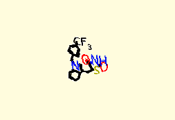 O=C1NC(=O)/C(=C\c2cn(Cc3ccc(C(F)(F)F)cc3)c3ccccc23)S1